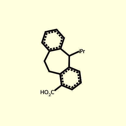 CC(C)C1c2ccccc2CCc2c(C(=O)O)cccc21